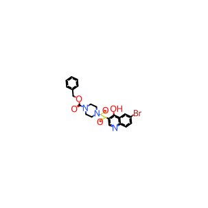 O=C(OCc1ccccc1)N1CCN(S(=O)(=O)c2cnc3ccc(Br)cc3c2O)CC1